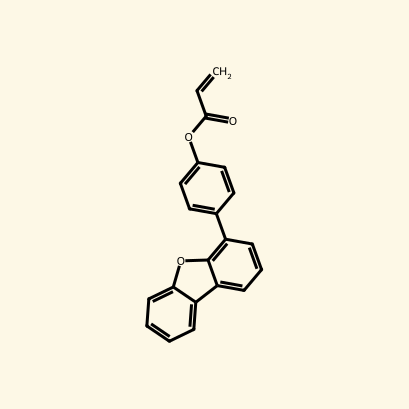 C=CC(=O)Oc1ccc(-c2cccc3c2oc2ccccc23)cc1